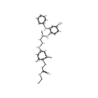 CCOC(=O)CCc1c(C)cc(OCC[C@@H](C)Oc2ccc(Cl)cc2Oc2ccccc2)cc1C